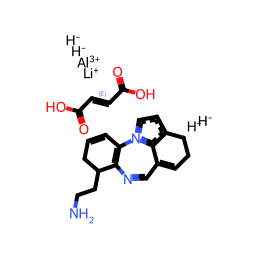 NCCC1CC=CC2=C1N=CC1=CCCc3ccn2c31.O=C(O)/C=C/C(=O)O.[Al+3].[H-].[H-].[H-].[H-].[Li+]